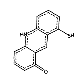 O=c1cccc2[nH]c3cccc(S)c3cc1-2